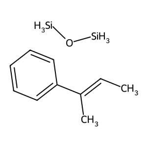 CC=C(C)c1ccccc1.[SiH3]O[SiH3]